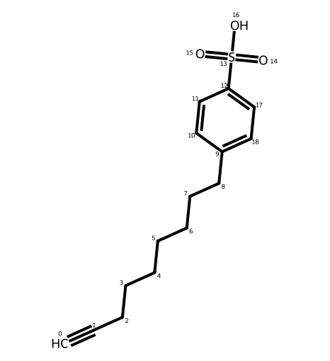 C#CCCCCCCCc1ccc(S(=O)(=O)O)cc1